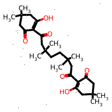 CC(C)(CCC(C)(C)CC(=O)C1=C(O)CC(C)(C)CC1=O)CC(=O)C1=C(O)CC(C)(C)CC1=O